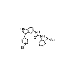 CCC(C)Sc1ccccc1NC(=O)Nc1ccc2[nH]cc(C3C=CN(CC)CC3)c2c1